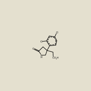 O=C(O)CC1(c2ccc(Cl)cc2Cl)CNC(=O)C1